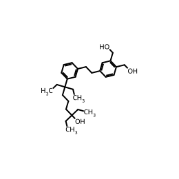 CCC(O)(CC)CCCC(CC)(CC)c1cccc(CCc2ccc(CO)c(CO)c2)c1